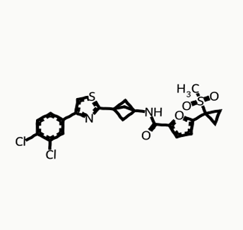 CS(=O)(=O)C1(c2ccc(C(=O)NC34CC(c5nc(-c6ccc(Cl)c(Cl)c6)cs5)(C3)C4)o2)CC1